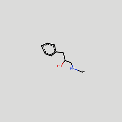 CC(C)NCC(O)Cc1ccccc1